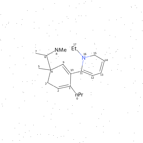 CCCC1=CCC(C)(C(C)NC)C=C1C1=CC=CCN1CC